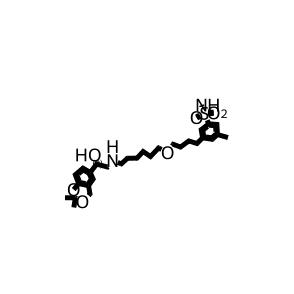 Cc1cc(CCCCOCCCCCCNC[C@H](O)c2ccc3c(c2)COC(C)(C)O3)cc(S(N)(=O)=O)c1